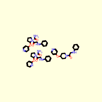 NC(=O)[N@@+]1(C(=O)CNc2ccccc2)CCCC1Oc1ccccn1.NC(=O)[N@@+]1(C(=O)CNc2ccccc2)CCCC1Oc1ccncc1.O=C(CNc1ccccc1)N1CCC(Oc2ccncc2)CC1